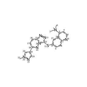 CN(C)c1ccnc2ccc(Sc3nnc4ccc(-c5cnn(C)c5)nn34)cc12